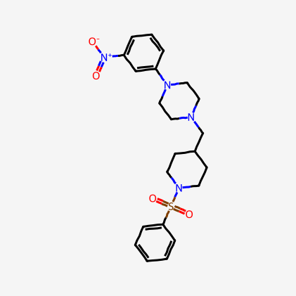 O=[N+]([O-])c1cccc(N2CCN(CC3CCN(S(=O)(=O)c4ccccc4)CC3)CC2)c1